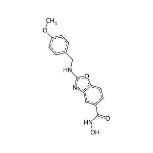 COc1ccc(CNc2nc3cc(C(=O)NO)ccc3o2)cc1